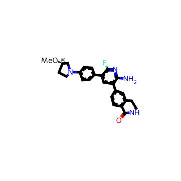 CO[C@@H]1CCN(c2ccc(-c3cc(-c4ccc5c(c4)CCNC5=O)c(N)nc3F)cc2)C1